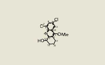 COc1c2c(nc3c(Cl)cc(Cl)cc13)C(O)CCC2